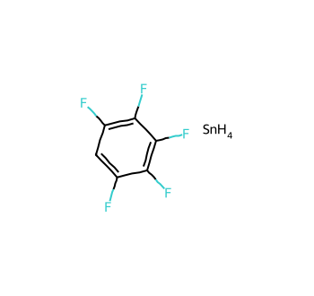 Fc1cc(F)c(F)c(F)c1F.[SnH4]